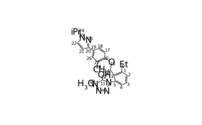 CCc1cccc(N2N=NN(C)C2O)c1COc1ccc(-c2ccn(C(C)C)n2)cc1C